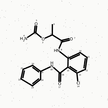 CC(OC(N)=O)C(=O)Nc1cccc(Cl)c1C(=O)Nc1ccccc1